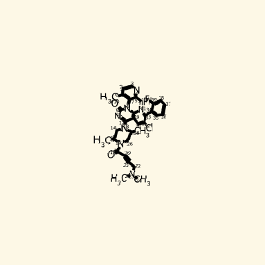 Cc1ccnc(C(C)C)c1-n1c(=O)nc(N2CC(C)N(C(=O)C#CCN(C)C)CC2C)c2cc(Cl)c(-c3ccccc3F)nc21